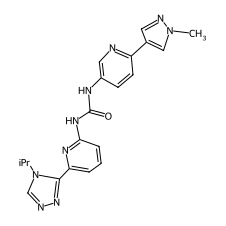 CC(C)n1cnnc1-c1cccc(NC(=O)Nc2ccc(-c3cnn(C)c3)nc2)n1